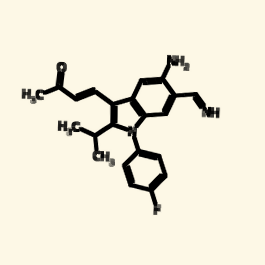 CC(=O)/C=C/c1c(C(C)C)n(-c2ccc(F)cc2)c2cc(C=N)c(N)cc12